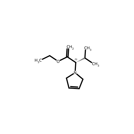 C=C(OCC)[C@H](C(C)C)N1CC=CC1